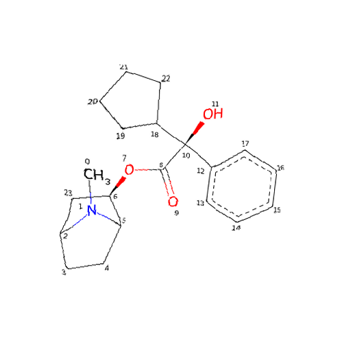 CN1C2CCC1[C@H](OC(=O)[C@@](O)(c1ccccc1)C1CCCC1)C2